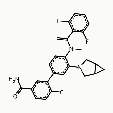 C=C(c1c(F)cccc1F)N(C)c1ccc(-c2cc(C(N)=O)ccc2Cl)cc1N1CC2CC2C1